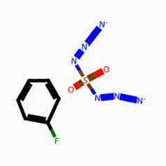 Fc1ccccc1.[N-]=[N+]=NS(=O)(=O)N=[N+]=[N-]